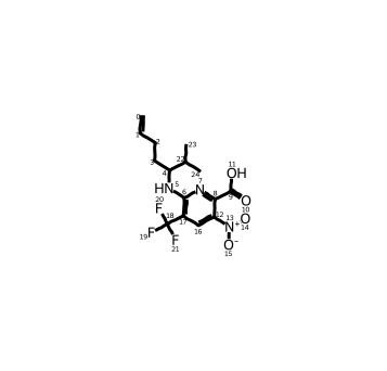 C=CCCC(Nc1nc(C(=O)O)c([N+](=O)[O-])cc1C(F)(F)F)C(C)C